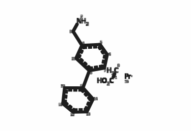 CC(=O)O.NCc1cccc(-c2ccccc2)c1.[Pr]